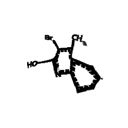 Cc1c(Br)c(O)nc2cc[c]cc12